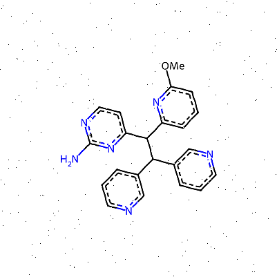 COc1cccc(C(c2ccnc(N)n2)C(c2cccnc2)c2cccnc2)n1